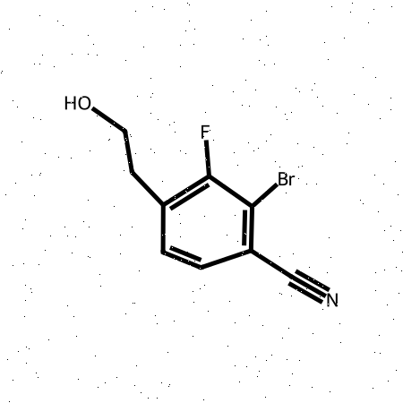 N#Cc1ccc(CCO)c(F)c1Br